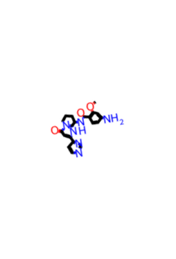 COc1cc(N)ccc1C(=O)NC1CCCn2c1nc(-c1ccncn1)cc2=O